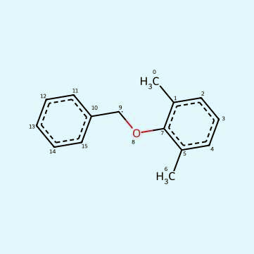 Cc1cccc(C)c1O[CH]c1ccccc1